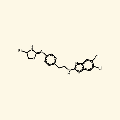 CCC1CS/C(=N\c2ccc(CCNc3nc4cc(Cl)c(Cl)cc4s3)cc2)N1